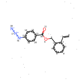 C=Cc1ccccc1COC(=O)c1ccc(N=[N+]=[N-])cc1